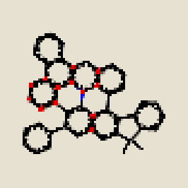 CC1(C)c2ccccc2-c2c(-c3ccccc3N(c3cccc(-c4ccccc4)c3-c3ccccc3-c3ccccc3)c3cc4ccccc4c4ccccc34)cccc21